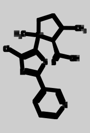 CC1CC[N+](C)(c2sc(-c3cccnc3)nc2Cl)[C@@H]1C(O)=S